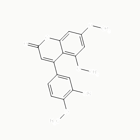 COc1cc(OC)c2c(-c3ccc(OC)c(O)c3)cc(=O)oc2c1